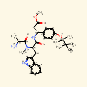 COC(=O)C[C@@H](NC(=O)[C@@H](Cc1c[nH]c2ccccc12)N(C)C(=O)[C@H](C)N)c1ccc(O[Si](C)(C)C(C)(C)C)cc1